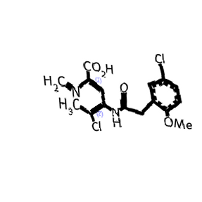 C=N/C(=C\C(NC(=O)Cc1cc(Cl)ccc1OC)=C(/C)Cl)C(=O)O